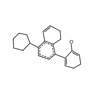 ClC1=CCCC=C1c1ccc(C2CCCCC2)c2c1CCC=C2